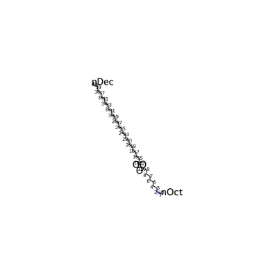 CCCCCCCC/C=C\CCCCCCCC(=O)OC(=O)CCCCCCCCCCCCCCCCCCCCCCCCCCCCCCCCCCCC